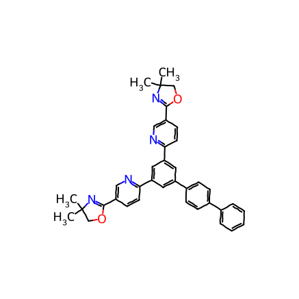 CC1(C)COC(c2ccc(-c3cc(-c4ccc(-c5ccccc5)cc4)cc(-c4ccc(C5=NC(C)(C)CO5)cn4)c3)nc2)=N1